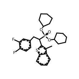 Cc1c(C(Cc2ccc(F)c(F)c2)P(=O)(OC2CCCCC2)OC2CCCCC2)sc2ccccc12